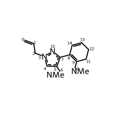 C=CCn1cc(NC)c(C2=C(NC)CCC=C2)n1